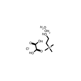 C[N+](C)(C)CCO.O.O.O=C(O)C(=O)O.[Cl-]